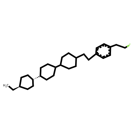 CC[C@H]1CC[C@H](C2CCC(C3CCC(CCc4ccc(CCF)cc4)CC3)CC2)CC1